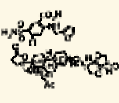 CC(=O)S[C@@H]1CC2=CC(=O)CC[C@]2(C)[C@H]2CC[C@@]3(C)[C@@H](CC[C@@]34CCC(=O)O4)[C@H]12.NS(=O)(=O)c1cc(C(=O)O)c(NCc2ccco2)cc1Cl.O[C@@H]1CO[C@H]2[C@@H]1OC[C@@H]2O